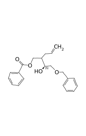 C=CCC(COC(=O)c1ccccc1)[C@H](O)COCc1ccccc1